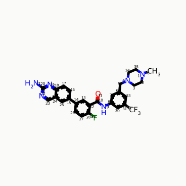 CN1CCN(Cc2cc(NC(=O)c3cc(-c4ccc5nc(N)ncc5c4)ccc3F)cc(C(F)(F)F)c2)CC1